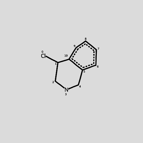 ClC1C[N]Cc2ccccc21